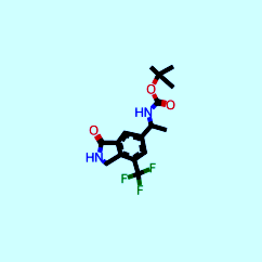 CC(NC(=O)OC(C)(C)C)c1cc2c(c(C(F)(F)F)c1)CNC2=O